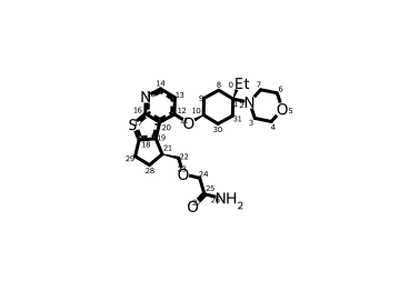 CC[C@]1(N2CCOCC2)CC[C@H](Oc2ccnc3sc4c(c23)[C@@H](COCC(N)=O)CC4)CC1